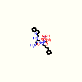 NC(=O)C[C@H](NCc1ccc2ccccc2n1)C(=O)NN(CCCCc1ccccc1)N(OP(=O)(O)O)C(=O)O